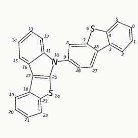 c1ccc2c(c1)sc1cc(-n3c4ccccc4c4c5ccccc5sc43)ccc12